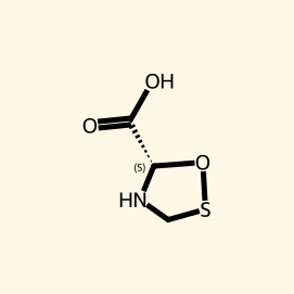 O=C(O)[C@H]1NCSO1